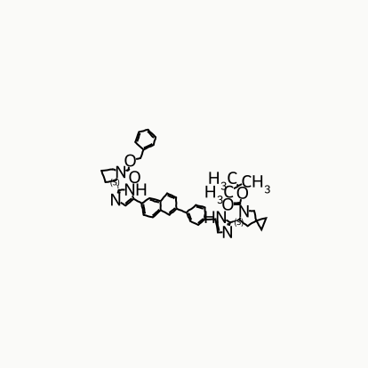 CC(C)(C)OC(=O)N1CC2(CC2)C[C@H]1c1ncc(-c2ccc(-c3ccc4cc(-c5cnc([C@@H]6CCCN6C(=O)OCc6ccccc6)[nH]5)ccc4c3)cc2)[nH]1